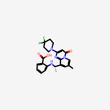 Cc1cc([C@H](C)Nc2ccccc2C(=O)O)c2nc(N3CCC(F)(F)CC3)cc(=O)n2c1